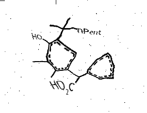 CCCCCC(C)(C)c1cc(C(C(=O)O)c2ccccc2)c(C)c(C)c1O